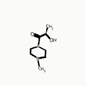 C[C@@H](O)C(=O)N1CCN(C)CC1